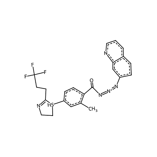 Cc1cc([SH]2CCN=C2CCC(F)(F)F)ccc1C(=O)N=[N+]=Nc1ccc2cccnc2c1